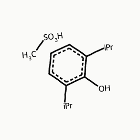 CC(C)c1cccc(C(C)C)c1O.CS(=O)(=O)O